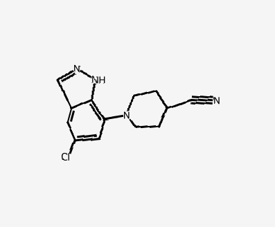 N#CC1CCN(c2cc(Cl)cc3cn[nH]c23)CC1